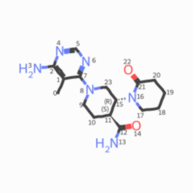 Cc1c(N)ncnc1N1CC[C@H](C(N)=O)[C@@H](N2CCCCC2=O)C1